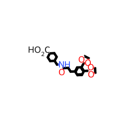 O=C(CCc1ccc(C2OCCO2)c(C2OCCO2)c1)NCC1CCC(C(=O)O)CC1